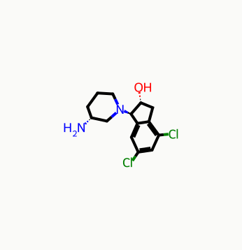 N[C@@H]1CCCN([C@@H]2c3cc(Cl)cc(Cl)c3C[C@H]2O)C1